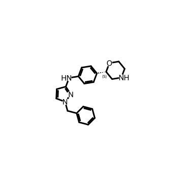 c1ccc(Cn2ccc(Nc3ccc([C@H]4CNCCO4)cc3)n2)cc1